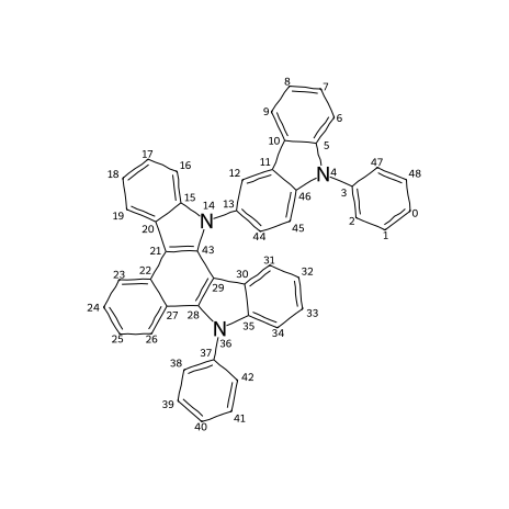 c1ccc(-n2c3ccccc3c3cc(-n4c5ccccc5c5c6ccccc6c6c(c7ccccc7n6-c6ccccc6)c54)ccc32)cc1